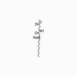 CCCCCCCCCCCC(=O)NCCC(=O)OC.[NaH]